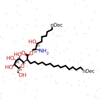 CCCCCCCCCCCCCCCCCCCCCCCCC(C(=O)OC[C@H](N)[C@@H](O)CCCCCCCCCCCCCCC)[C@H]1O[C@H](CO)[C@H](O)[C@H](O)[C@H]1O